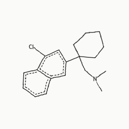 CN(C)CC1(c2cc(Cl)c3ccccc3c2)CCCCC1